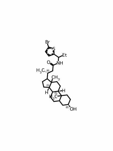 CCC(NC(=O)C[C@@H](C)C1CC[C@H]2C3CCC4C[C@H](O)CCC4(C)[C@H]3CCC12C)c1ccc(Br)s1